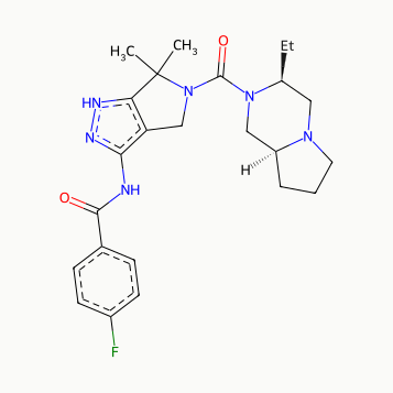 CC[C@H]1CN2CCC[C@H]2CN1C(=O)N1Cc2c(NC(=O)c3ccc(F)cc3)n[nH]c2C1(C)C